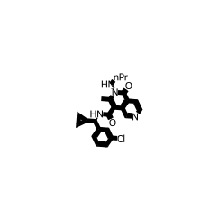 CCCNn1c(C)c(C(=O)N[C@H](c2cccc(Cl)c2)C2CC2)c2cnccc2c1=O